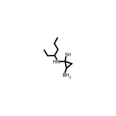 BC1CC1(S)NC(CC)CCC